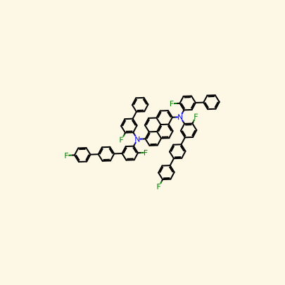 Fc1ccc(-c2ccc(-c3ccc(F)c(N(c4cc(-c5ccccc5)ccc4F)c4ccc5ccc6c(N(c7cc(-c8ccccc8)ccc7F)c7cc(-c8ccc(-c9ccc(F)cc9)cc8)ccc7F)ccc7ccc4c5c76)c3)cc2)cc1